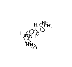 Cc1ccc(NC(=O)c2cccc(C(C)(C)N)c2)cc1Nc1ncnc2cnc(N3CCOCC3)nc12